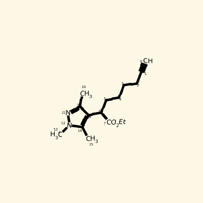 C#CCCCCC(C(=O)OCC)c1c(C)nn(C)c1C